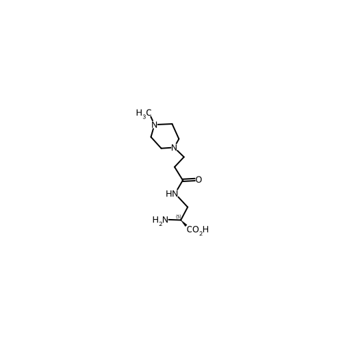 CN1CCN(CCC(=O)NC[C@H](N)C(=O)O)CC1